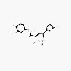 CN1C(C(=O)Nc2ccc(F)c(Br)c2)=CC(c2ccc(Br)s2)=N[S+]1[O-]